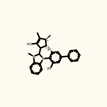 CC1=C(O)C(C2N(C)c3ccccc3N2c2c(C(C)C)cc(-c3ccccc3)cc2C(C)C)[C@@H](C)[C@@H]1C